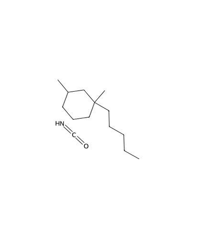 CCCCCC1(C)CCCC(C)C1.N=C=O